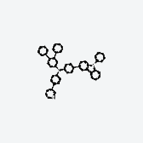 c1ccc(-c2ccc(N(c3ccc(-c4cccnc4)cc3)c3ccc(-c4ccc5c(c4)c4ccccc4n5-c4ccccc4)cc3)cc2-c2ccccc2)cc1